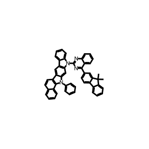 CC1(C)c2ccccc2-c2ccc(-c3nc(-n4c5ccccc5c5cc6c7ccc8ccccc8c7n(-c7ccccc7)c6cc54)nc4ccccc34)cc21